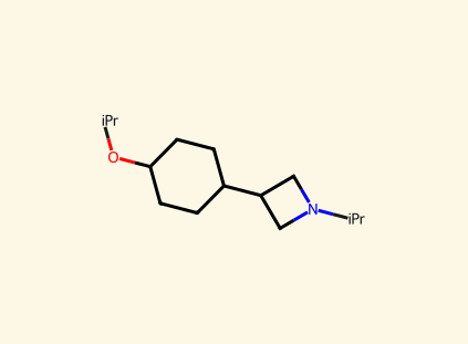 CC(C)OC1CCC(C2CN(C(C)C)C2)CC1